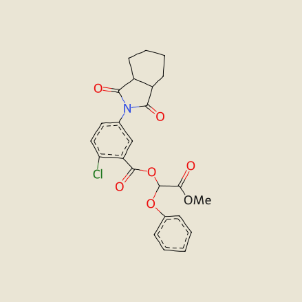 COC(=O)C(OC(=O)c1cc(N2C(=O)C3CCCCC3C2=O)ccc1Cl)Oc1ccccc1